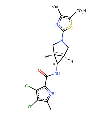 CCCCc1nc(N2C[C@@H]3[C@H](C2)[C@H]3NC(=O)c2[nH]c(C)c(Cl)c2Cl)sc1C(=O)O